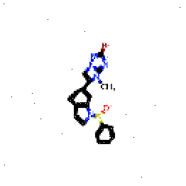 Cn1c(-c2ccc3ccn([S+]([O-])c4ccccc4)c3c2)cn2nc(Br)nc12